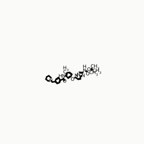 Cc1ccc(Oc2ccc3nc(NC(=O)OC(C)(C)C)cn3n2)cc1NC(=O)c1ccc(CN2CCCCC2)cc1